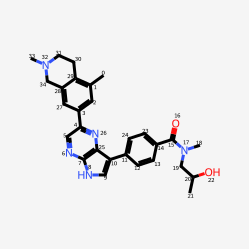 Cc1cc(-c2cnc3[nH]cc(-c4ccc(C(=O)N(C)CC(C)O)cc4)c3n2)cc2c1CCN(C)C2